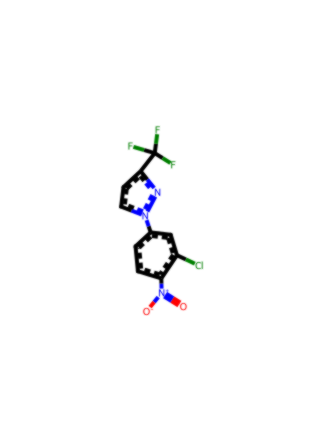 O=[N+]([O-])c1ccc(-n2ccc(C(F)(F)F)n2)cc1Cl